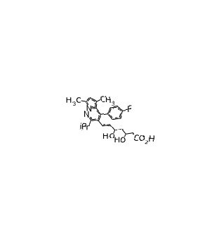 Cc1cc(C)n2nc(C(C)C)c(/C=C/C(O)CC(O)CC(=O)O)c(-c3ccc(F)cc3)c12